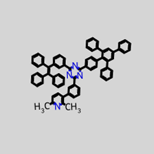 Cc1ccc(-c2cccc(-c3nc(-c4ccc(-c5c(-c6ccccc6)cc(-c6ccccc6)cc5-c5ccccc5)cc4)nc(-c4cccc(C(=C(c5ccccc5)c5ccccc5)c5ccccc5)c4)n3)c2)c(C)n1